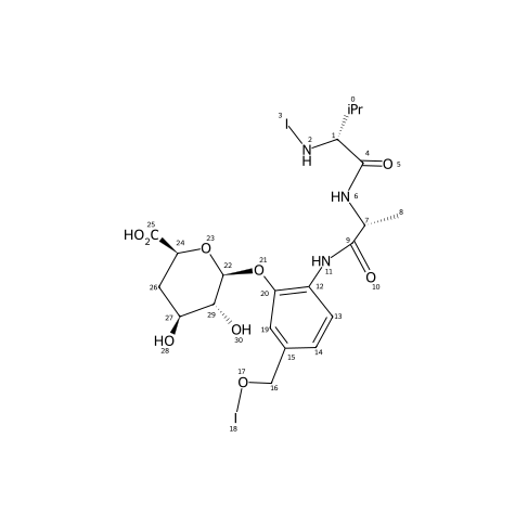 CC(C)[C@@H](NI)C(=O)N[C@H](C)C(=O)Nc1ccc(COI)cc1O[C@@H]1O[C@H](C(=O)O)C[C@H](O)[C@H]1O